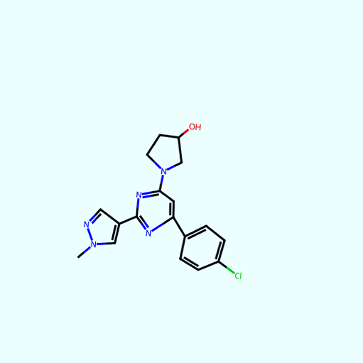 Cn1cc(-c2nc(-c3ccc(Cl)cc3)cc(N3CCC(O)C3)n2)cn1